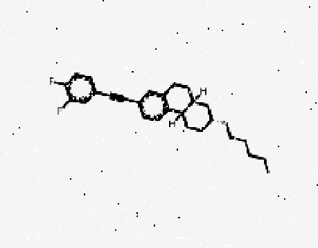 CCCCCC[C@@H]1CC[C@@H]2c3ccc(C#Cc4ccc(F)c(F)c4)cc3CC[C@@H]2C1